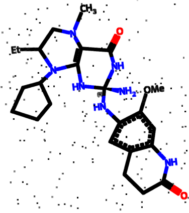 CCC1CN(C)C2=C(N[C@@](N)(Nc3cc4c(cc3OC)NC(=O)CC4)NC2=O)N1C1CCCC1